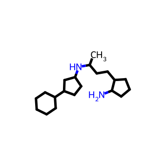 CC(CCC1CCCC1N)NC1CCC(C2CCCCC2)C1